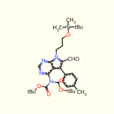 Cc1ccc(-c2c(C=O)n(CCCO[Si](C)(C)C(C)(C)C)c3ncnc(N(C(=O)OC(C)(C)C)C(=O)OC(C)(C)C)c23)cc1